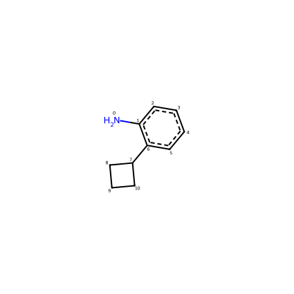 Nc1ccccc1C1CCC1